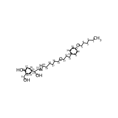 CCCCCCOc1ccc(CCCOCCCCCCNCC(O)c2ccc(O)c(CO)c2)cc1